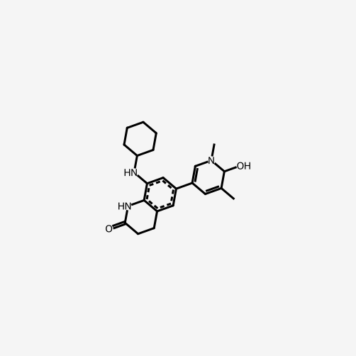 CC1=CC(c2cc3c(c(NC4CCCCC4)c2)NC(=O)CC3)=CN(C)C1O